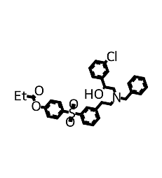 CCC(=O)Oc1ccc(S(=O)(=O)c2cccc(CCN(Cc3ccccc3)C[C@@H](O)c3cccc(Cl)c3)c2)cc1